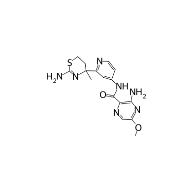 COc1cnc(C(=O)Nc2ccnc(C3(C)CCSC(N)=N3)c2)c(N)n1